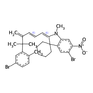 C=C(/C=C/C=C1/N(C)c2cc([N+](=O)[O-])c(Br)cc2C12CCCCC2)C(C)(C)c1cc(Br)ccc1C